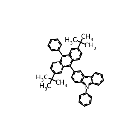 CC(C)(C)c1ccc2c(-c3ccc4c(c3)c3ccccc3n4-c3ccccc3)c3cc(C(C)(C)C)ccc3c(-c3ccccc3)c2c1